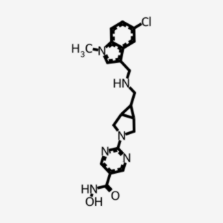 Cn1cc(CNCC2C3CN(c4ncc(C(=O)NO)cn4)CC23)c2cc(Cl)ccc21